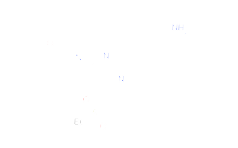 CCS(=O)(=O)Cc1cc(N2CCOCC2)nc(-c2ccc(N)cc2)n1